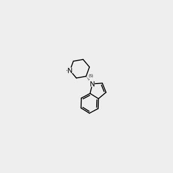 c1ccc2c(c1)ccn2[C@H]1CCC[N]C1